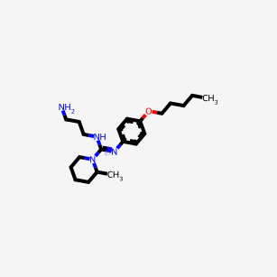 CCCCCOc1ccc(/N=C(\NCCCN)N2CCCCC2C)cc1